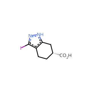 O=C(O)[C@@H]1CCc2c(I)n[nH]c2C1